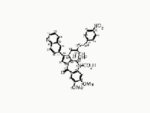 COc1cc2c(cc1OC)N(C(=O)O)[C@@H](O)[C@@H]1[C@H](CC(C)SSc3ccc([N+](=O)[O-])cn3)C(c3ccc4ncccc4c3)=CN1C2=O